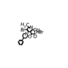 Cc1nc(C)c(C(=O)C(=O)OC(C)C)c(N2CCC(c3ccccc3)CC2)c1Br